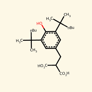 CCCCC(C)(C)c1cc(CC(C(=O)O)C(=O)O)cc(C(C)(C)CCCC)c1O